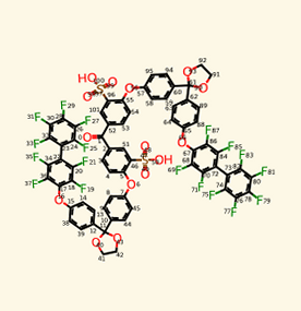 O=C(c1ccc(Oc2ccc(C3(c4ccc(Oc5c(F)c(F)c(-c6c(F)c(F)c(F)c(F)c6F)c(F)c5F)cc4)OCCO3)cc2)c(S(=O)(=O)O)c1)c1ccc(Oc2ccc(C3(c4ccc(Oc5c(F)c(F)c(-c6c(F)c(F)c(F)c(F)c6F)c(F)c5F)cc4)OCCO3)cc2)c(S(=O)(=O)O)c1